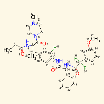 CCC(=O)NC(C(=O)N1CCN(C)CC1)C(C)c1ccc(NC(=O)C(NC(=O)C(F)(F)c2cccc(OC)c2)C2CCCCC2)c(F)c1